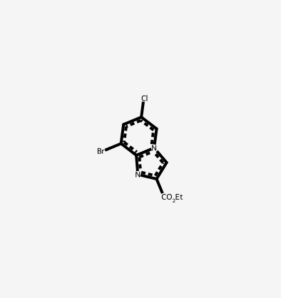 CCOC(=O)c1cn2cc(Cl)cc(Br)c2n1